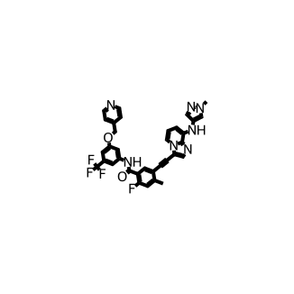 Cc1cc(F)c(C(=O)Nc2cc(OCc3ccncc3)cc(C(F)(F)F)c2)cc1C#Cc1cnc2c(Nc3cnn(C)c3)cccn12